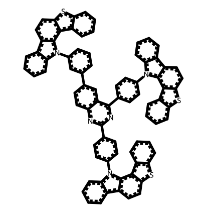 c1cc(-c2ccc3nc(-c4ccc(-n5c6ccccc6c6ccc7sc8ccccc8c7c65)cc4)nc(-c4ccc(-n5c6ccccc6c6ccc7sc8ccccc8c7c65)cc4)c3c2)cc(-n2c3ccccc3c3ccc4sc5ccccc5c4c32)c1